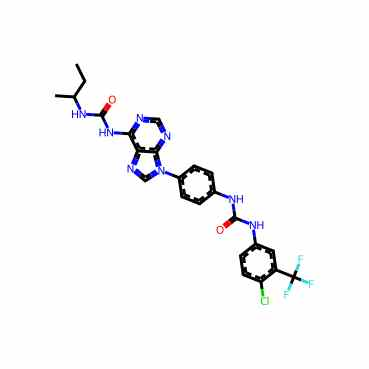 CCC(C)NC(=O)Nc1ncnc2c1ncn2-c1ccc(NC(=O)Nc2ccc(Cl)c(C(F)(F)F)c2)cc1